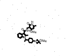 COC1(C)CN(C2CCC(C(C)n3c(C)c(C(=O)NCc4c(SC)cc(C)[nH]c4=O)c4ccccc43)CC2)C1